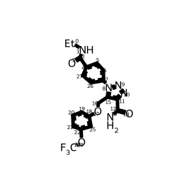 CCNC(=O)c1ccc(-n2nnc(C(N)=O)c2COc2cccc(OC(F)(F)F)c2)cc1